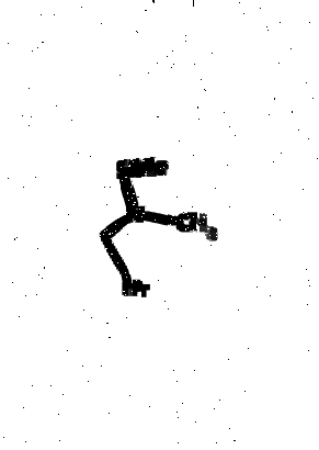 CCCCN(C)SC